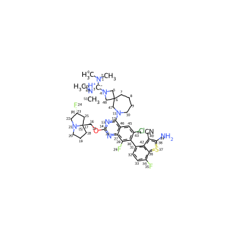 CN(C)[C-](N1CC2(CCCCN(c3nc(OC[C@@]45CCCN4C[C@H](F)C5)nc4c(F)c(-c5ccc(F)c6sc(N)c(C#N)c56)c(Cl)cc34)C2)C1)[NH+](C)C